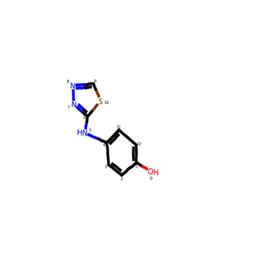 Oc1ccc(Nc2nncs2)cc1